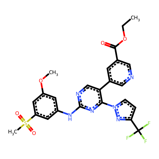 CCOC(=O)c1cncc(-c2cnc(Nc3cc(OC)cc(S(C)(=O)=O)c3)nc2-n2ccc(C(F)(F)F)n2)c1